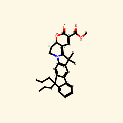 CCCC1(CCC)c2ccccc2-c2cc3c(cc21)N1CCC2OC(=O)C(C(=O)OC)=CC2=C1C3(C)C